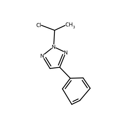 CC(Cl)n1ncc(-c2ccccc2)n1